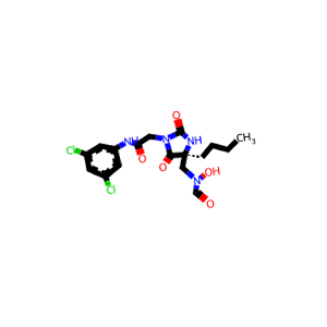 CCCC[C@@]1(CN(O)C=O)NC(=O)N(CC(=O)Nc2cc(Cl)cc(Cl)c2)C1=O